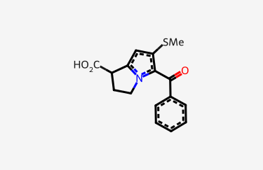 CSc1cc2n(c1C(=O)c1ccccc1)CCC2C(=O)O